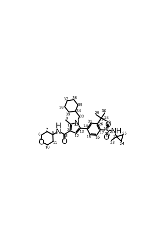 Cc1c(C(=O)NC2CCOCC2)cc(-c2ccc(S(=O)(=O)NC3(C)CC3)c(C(C)(C)C)c2)n1CC1CCCCC1